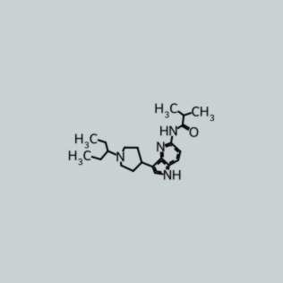 CCC(CC)N1CCC(c2c[nH]c3ccc(NC(=O)C(C)C)nc23)CC1